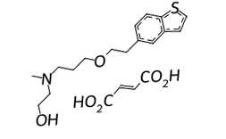 CN(CCO)CCCOCCc1ccc2sccc2c1.O=C(O)/C=C/C(=O)O